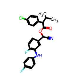 CC(C)C(C(=O)OC(C#N)c1ccc(F)c(Nc2ccc(F)cc2)c1)c1ccc(Cl)cc1